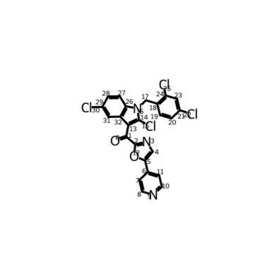 O=C(c1ncc(-c2ccncc2)o1)c1c(Cl)n(Cc2ccc(Cl)cc2Cl)c2ccc(Cl)cc12